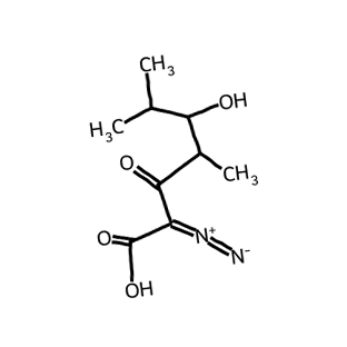 CC(C)C(O)C(C)C(=O)C(=[N+]=[N-])C(=O)O